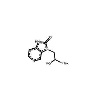 CCCCCCC(O)Cn1c(=O)[nH]c2ccncc21